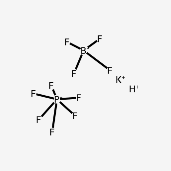 F[B-](F)(F)F.F[P-](F)(F)(F)(F)F.[H+].[K+]